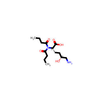 CCCC(=O)N(C(=O)CCC)[C@@H](CC[C@@H](O)CN)C(=O)O